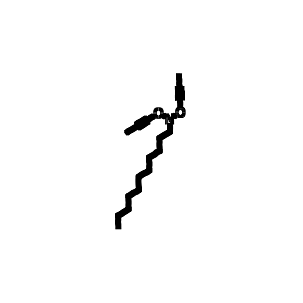 CC#CON(CCCCCCCCCCC)OC#CC